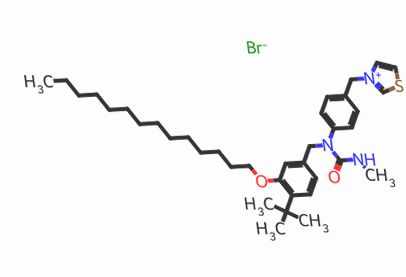 CCCCCCCCCCCCCCOc1cc(CN(C(=O)NC)c2ccc(C[n+]3ccsc3)cc2)ccc1C(C)(C)C.[Br-]